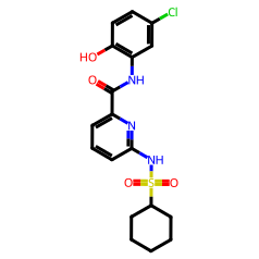 O=C(Nc1cc(Cl)ccc1O)c1cccc(NS(=O)(=O)C2CCCCC2)n1